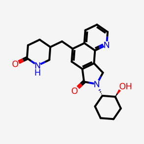 O=C1CCC(Cc2cc3c(c4ncccc24)CN([C@H]2CCCC[C@@H]2O)C3=O)CN1